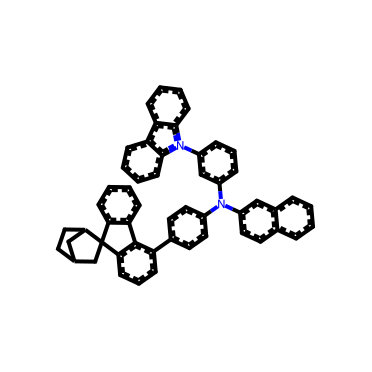 c1cc(N(c2ccc(-c3cccc4c3-c3ccccc3C43CC4CCC3C4)cc2)c2ccc3ccccc3c2)cc(-n2c3ccccc3c3ccccc32)c1